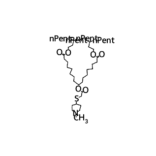 CCCCCC(CCCCC)CCOC(=O)CCCCCCCC(CCCCCCCC(=O)OCCC(CCCCC)CCCCC)OC(=O)CSC1CCN(C)CC1